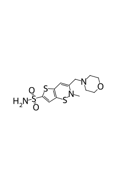 CN1Sc2cc(S(N)(=O)=O)sc2C=C1CN1CCOCC1